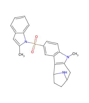 Cc1cc2ccccc2n1S(=O)(=O)c1ccc2c(c1)c1c(n2C)CC2CCC1N2